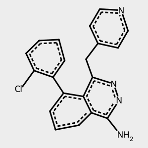 Nc1nnc(Cc2ccncc2)c2c(-c3ccccc3Cl)cccc12